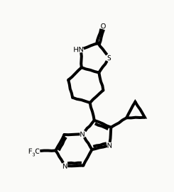 O=C1NC2CCC(c3c(C4CC4)nc4cnc(C(F)(F)F)cn34)CC2S1